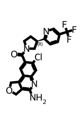 Nc1nc2cc(Cl)c(C(=O)N3CC[C@@H](c4ccc(C(F)(F)F)cn4)C3)cc2c2c1COC2